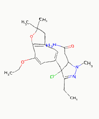 CCOc1cc(C2(Cl)C(CC)=NN(C)C2C(N)=O)cc2c1OC(C)(C)C2